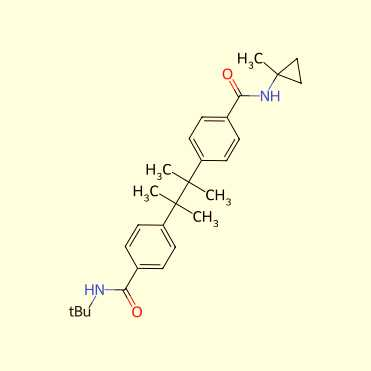 CC(C)(C)NC(=O)c1ccc(C(C)(C)C(C)(C)c2ccc(C(=O)NC3(C)CC3)cc2)cc1